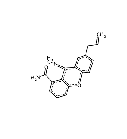 C=CCc1ccc2oc3cccc(C(N)=O)c3/c(=N\C)c2c1